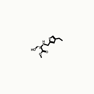 CCc1csc(CN[C@@H](CO)C(=O)OC)c1